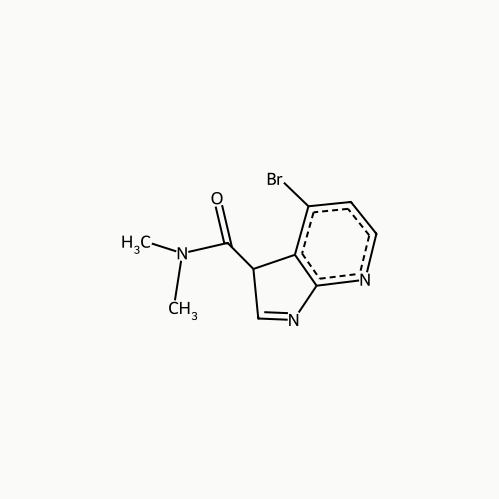 CN(C)C(=O)C1C=Nc2nccc(Br)c21